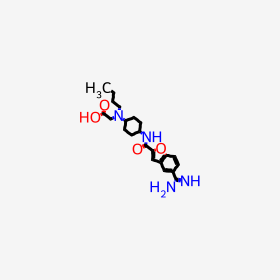 CCCCN(CC(=O)O)C1CCC(NC(=O)c2cc3cc(C(=N)N)ccc3o2)CC1